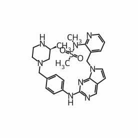 C[C@H]1CN(Cc2ccc(Nc3ncc4ccn(Cc5cccnc5N(C)S(C)(=O)=O)c4n3)cc2)CCN1